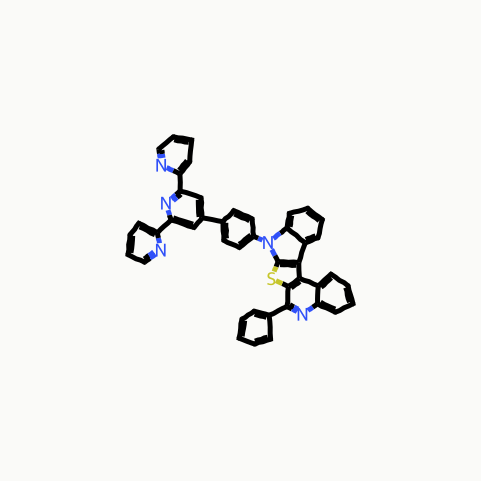 c1ccc(-c2nc3ccccc3c3c2sc2c3c3ccccc3n2-c2ccc(-c3cc(-c4ccccn4)nc(-c4ccccn4)c3)cc2)cc1